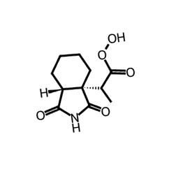 CC(C(=O)OO)[C@@]12CCCC[C@H]1C(=O)NC2=O